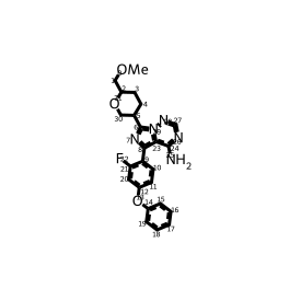 COCC1CCC(c2nc(-c3ccc(Oc4ccccc4)cc3F)c3c(N)ncnn23)CO1